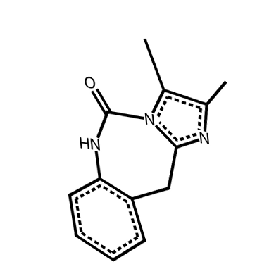 Cc1nc2n(c1C)C(=O)Nc1ccccc1C2